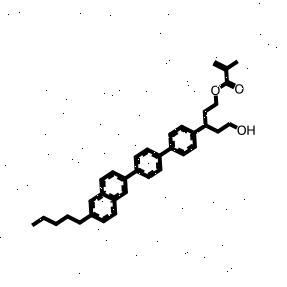 C=C(C)C(=O)OCCC(CCO)c1ccc(-c2ccc(-c3ccc4cc(CCCCC)ccc4c3)cc2)cc1